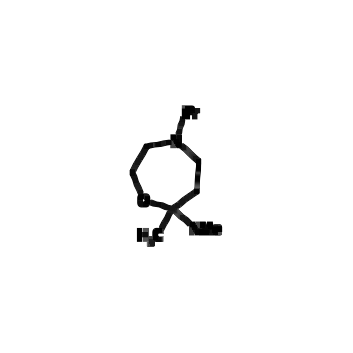 CNC1(C)CCN(C(C)C)CCO1